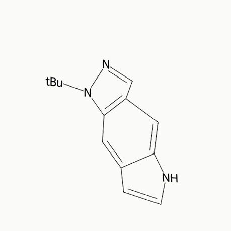 CC(C)(C)n1ncc2cc3[nH]ccc3cc21